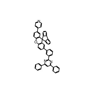 c1ccc(-c2cc(-c3ccccc3)nc(-c3cccc(-c4ccc5c(c4)C4(c6cc(-c7ccncc7)ccc6O5)c5ccccc5-c5ccccc54)c3)n2)cc1